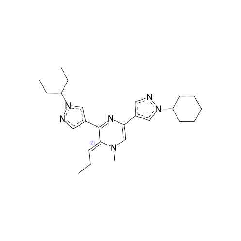 CC/C=C1/C(c2cnn(C(CC)CC)c2)=NC(c2cnn(C3CCCCC3)c2)=CN1C